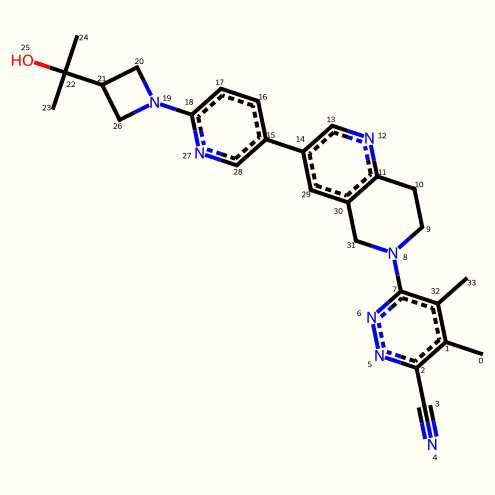 Cc1c(C#N)nnc(N2CCc3ncc(-c4ccc(N5CC(C(C)(C)O)C5)nc4)cc3C2)c1C